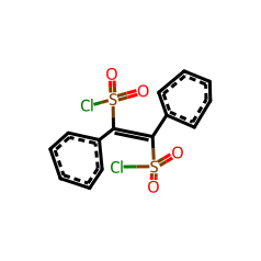 O=S(=O)(Cl)C(=C(c1ccccc1)S(=O)(=O)Cl)c1ccccc1